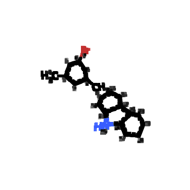 Cc1cc(C)cc(Br)c1.c1ccc2c(c1)[nH]c1ccccc12